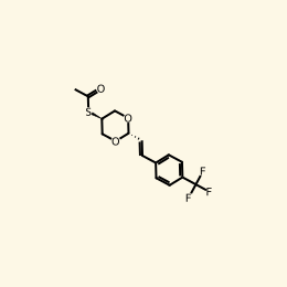 CC(=O)S[C@H]1CO[C@H](C=Cc2ccc(C(F)(F)F)cc2)OC1